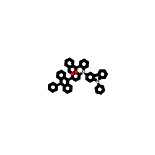 c1ccc(-c2c3ccccc3c(-c3ccc(N(c4ccc5c(c4)c4ccccc4n5-c4ccccc4)c4ccccc4-c4cccc5ccccc45)cc3)c3ccccc23)cc1